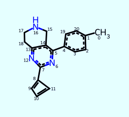 Cc1ccc(-c2nc(C3=CC=C3)nc3c2CNCC3)cc1